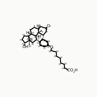 C[C@]12CCC(=O)C[C@@H]1CC[C@@H]1[C@@H]2[C@@H](c2ccc(OCCCCCCCC(=O)O)cc2)C[C@]2(C)[C@@H](O)CC[C@@H]12